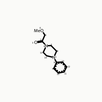 COCC(=O)N1CCN(c2cc[c]cc2)CC1